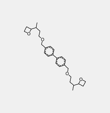 CC(CCOCc1ccc(-c2ccc(COCCC(C)C3CCO3)cc2)cc1)C1CCO1